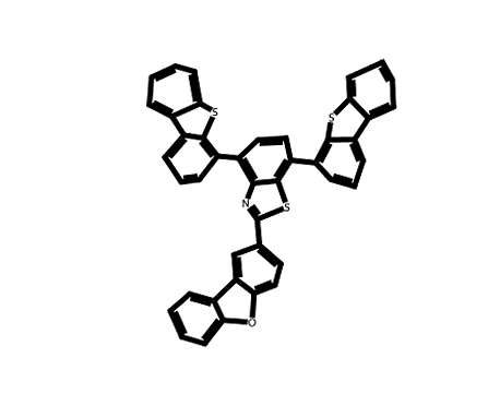 c1ccc2c(c1)oc1ccc(-c3nc4c(-c5cccc6c5sc5ccccc56)ccc(-c5cccc6c5sc5ccccc56)c4s3)cc12